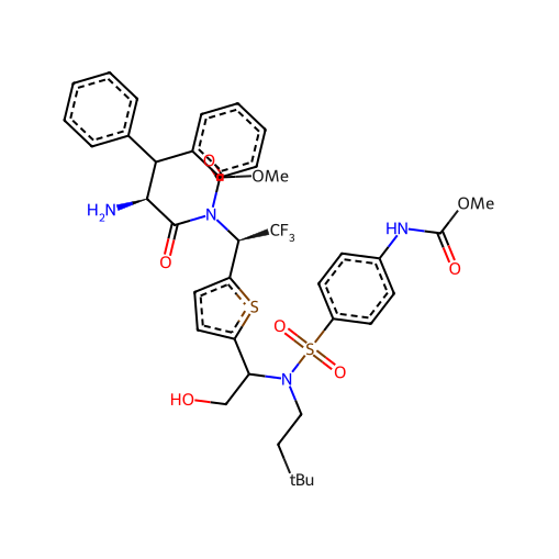 COC(=O)Nc1ccc(S(=O)(=O)N(CCC(C)(C)C)C(CO)c2ccc([C@@H](N(C(=O)OC)C(=O)[C@@H](N)C(c3ccccc3)c3ccccc3)C(F)(F)F)s2)cc1